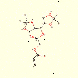 C=CC(=O)OCC(=O)OC(C1COC(C)(C)O1)C1COC(C)(C)O1